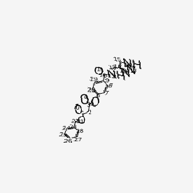 O=C(CC(=O)Oc1ccc(C(=O)NCc2c[nH]nn2)cc1)OCc1ccccc1